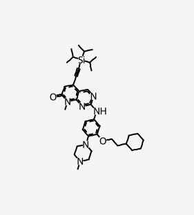 CC(C)[Si](C#Cc1cc(=O)n(C)c2nc(Nc3ccc(N4CCN(C)CC4)c(OCCC4CCCCC4)c3)ncc12)(C(C)C)C(C)C